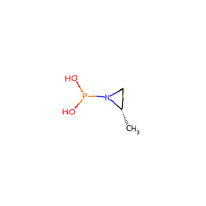 C[C@H]1CN1P(O)O